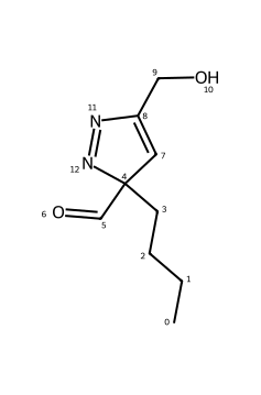 CCCCC1(C=O)C=C(CO)N=N1